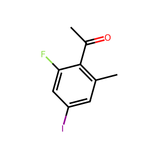 CC(=O)c1c(C)cc(I)cc1F